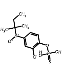 CCC(C)(C)[S+]([O-])c1ccc(OP(O)(O)=S)c(Cl)c1